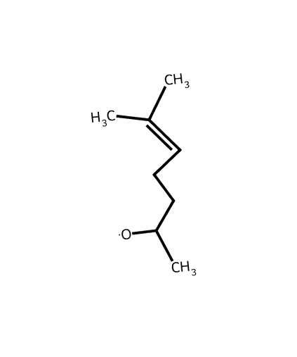 CC(C)=CCCC(C)[O]